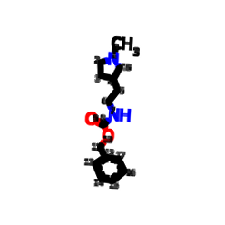 CN1CCC(CCNC(=O)OCc2ccccc2)C1